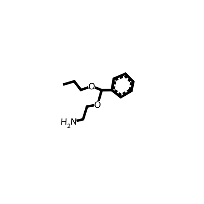 CCCOC(OCCN)c1ccccc1